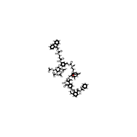 CC(=O)OC[C@H]1O[C@@H](Oc2ccc(COC(=O)N(C)CCOC34CC5(C)CC(C)(CC(Cn6ncc(-c7ccc(N8CCc9cccc(C(=O)Nc%10nc%11ccccc%11s%10)c9C8)nc7C(=O)O)c6C)(C5)C3)C4)cc2NC(=O)CCNC(=O)OCC2c3ccccc3-c3ccccc32)[C@H](OC(C)=O)[C@@H](OC(C)=O)[C@H]1OC(C)=O